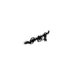 CC/C=C\CCCCOC(CCCCCCCN(CCO)CCCCCCC(=O)OCCC#CCCCCC)OCCCC/C=C\CC